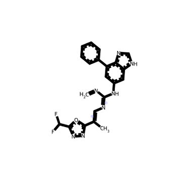 C=N/C(=N\C=C(/C)c1nnc(C(F)F)o1)Nc1cc(-c2ccccc2)c2nc[nH]c2c1